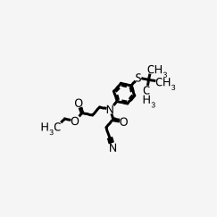 CCOC(=O)CCN(C(=O)CC#N)c1ccc(SC(C)(C)C)cc1